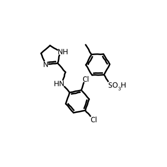 Cc1ccc(S(=O)(=O)O)cc1.Clc1ccc(NCC2=NCCN2)c(Cl)c1